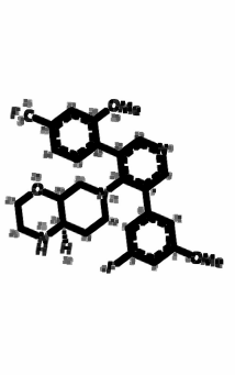 COc1cc(F)cc(-c2cncc(-c3ccc(C(F)(F)F)cc3OC)c2N2CC[C@H]3NCCOC3C2)c1